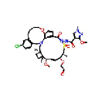 COc1nn(C)cc1C(=O)N[S@@]1(=O)=NC(=O)c2ccc3c(c2)N(Cc2ccc(Cl)cc2CCCCO3)C[C@@H]2CC[C@H]2[C@@H](OC)/C=C/[C@H](OCC=O)[C@H](C)C1